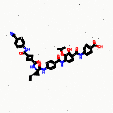 C=C[C@H]1C[C@@]1(NC(=O)C12CC(C(=O)Nc3ccc(C#N)cc3)(C1)C2)C(=O)Nc1ccc(C(=O)Nc2ccc(C(=O)Nc3ccc(C(=O)O)cc3)c(O)c2OC(C)C)cc1